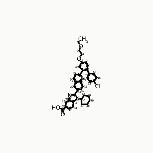 CCOCCOc1ccc(-c2ccc(Cl)cc2)c(-c2ccc3cc(-c4nc5cc(C(=O)O)ccc5n4C4CCCCC4)ccc3n2)c1